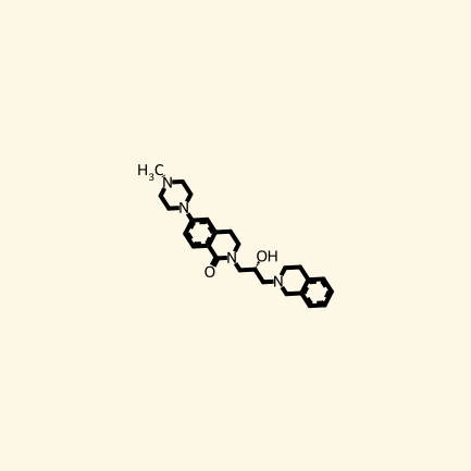 CN1CCN(c2ccc3c(c2)CCN(C[C@H](O)CN2CCc4ccccc4C2)C3=O)CC1